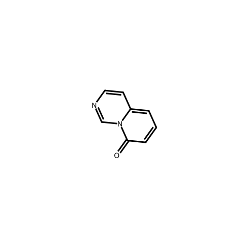 O=c1cccc2ccncn12